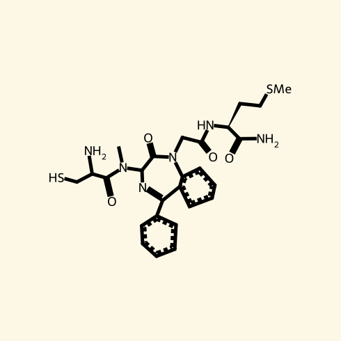 CSCC[C@H](NC(=O)CN1C(=O)C(N(C)C(=O)C(N)CS)N=C(c2ccccc2)c2ccccc21)C(N)=O